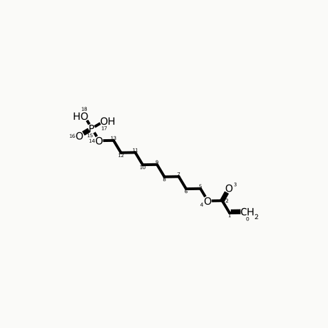 C=CC(=O)OCCCCCCCCCOP(=O)(O)O